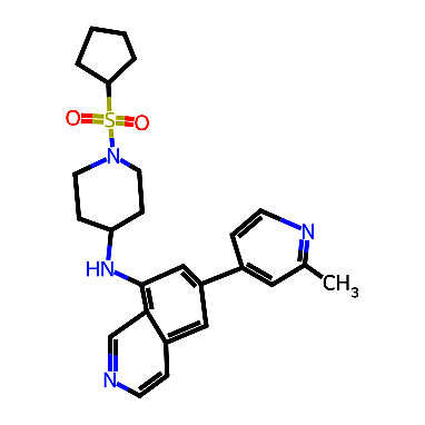 Cc1cc(-c2cc(NC3CCN(S(=O)(=O)C4CCCC4)CC3)c3cnccc3c2)ccn1